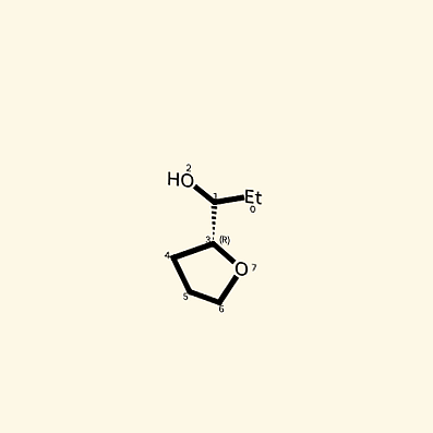 CCC(O)[C@H]1CCCO1